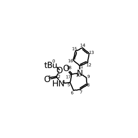 CC(C)(C)OC(=O)NC1CC=CCN(c2ccccc2)C1=O